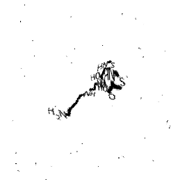 NCCCCNCCCN.O=C(O)C1CSCN1.O=C(O)C1CSCN1